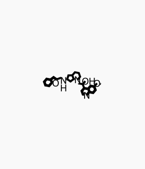 COc1ccc2nccc(C(O)CN3CCCC4CC(NCc5cc6ccccc6o5)CC43)c2c1